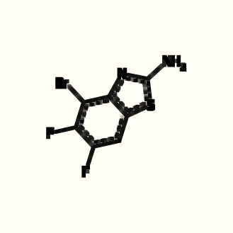 Nc1nc2c(Br)c(F)c(F)cc2s1